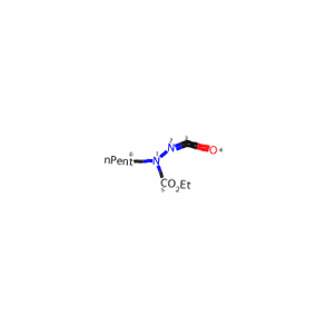 CCCCCN(N=C=O)C(=O)OCC